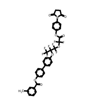 Cc1cccc(C(=O)Oc2ccc(-c3ccc(OC(F)(C(F)(F)F)C(F)(F)OC(F)(F)C(=O)Oc4ccc(N5C(=O)CCC5=O)cc4)cc3)cc2)c1